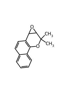 CC1(C)Oc2c(ccc3ccccc23)C2OC21